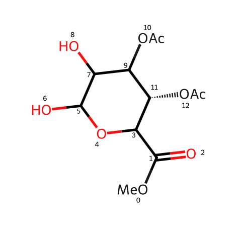 COC(=O)C1OC(O)C(O)C(OC(C)=O)[C@@H]1OC(C)=O